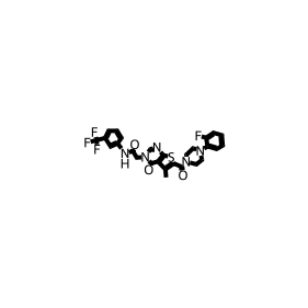 Cc1c(C(=O)N2CCN(c3ccccc3F)CC2)sc2ncn(CC(=O)Nc3cccc(C(F)(F)F)c3)c(=O)c12